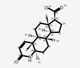 C[C@]12C=CC(=O)N[C@@H]1CC[C@@H]1[C@@H]2CC[C@]2(C)[C@@H](C(=O)Cl)CC[C@@H]12